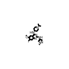 COc1cc2c(NC3CCN(C(C)C)CC3)nc(Nc3cnn(C)c3)nc2cc1I